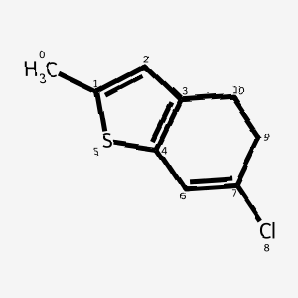 Cc1cc2c(s1)C=C(Cl)CC2